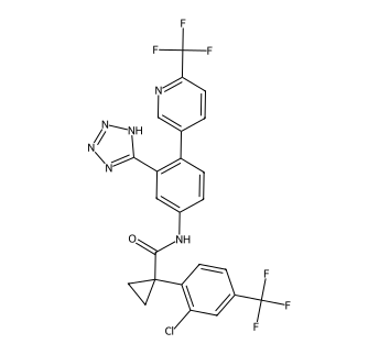 O=C(Nc1ccc(-c2ccc(C(F)(F)F)nc2)c(-c2nnn[nH]2)c1)C1(c2ccc(C(F)(F)F)cc2Cl)CC1